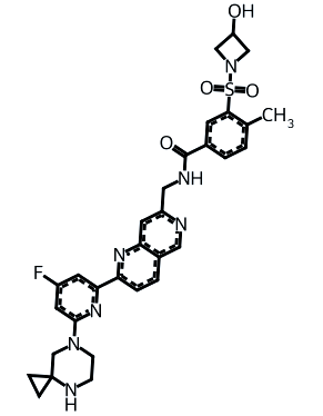 Cc1ccc(C(=O)NCc2cc3nc(-c4cc(F)cc(N5CCNC6(CC6)C5)n4)ccc3cn2)cc1S(=O)(=O)N1CC(O)C1